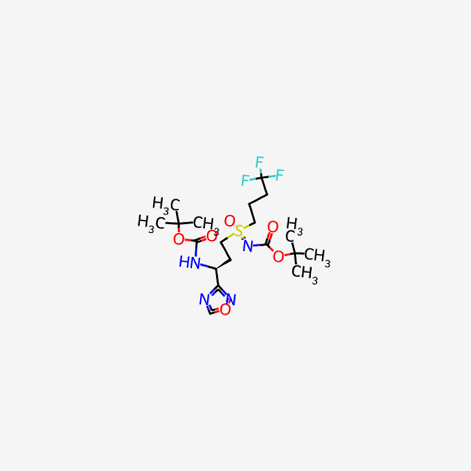 CC(C)(C)OC(=O)N=S(=O)(CCCC(F)(F)F)CC[C@H](NC(=O)OC(C)(C)C)c1ncon1